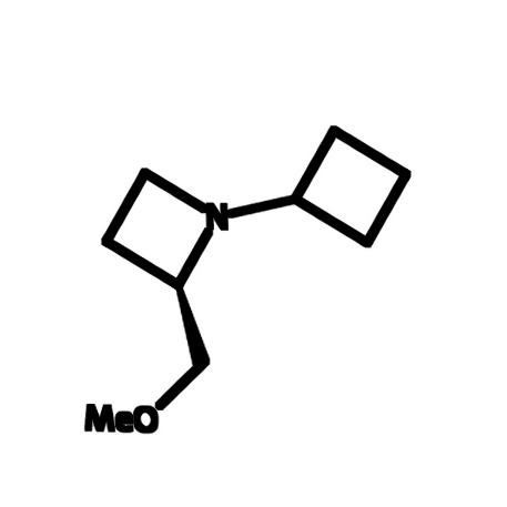 COC[C@H]1CCN1C1CCC1